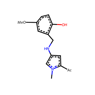 COc1ccc(O)c(CNc2cc(C(C)=O)n(C)c2)c1